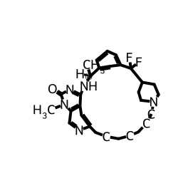 C[C@H]1Nc2nc(=O)n(C)c3cnc(cc23)CCCCCCCN2CCC(CC2)C(F)(F)c2cccc1c2